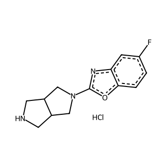 Cl.Fc1ccc2oc(N3CC4CNCC4C3)nc2c1